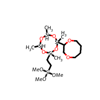 CO[Si](CC[Si]1(C)O[SiH](C)O[SiH](C)O[Si](C)(C2COCCCCO2)O1)(OC)OC